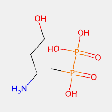 CP(=O)(O)P(=O)(O)O.NCCCO